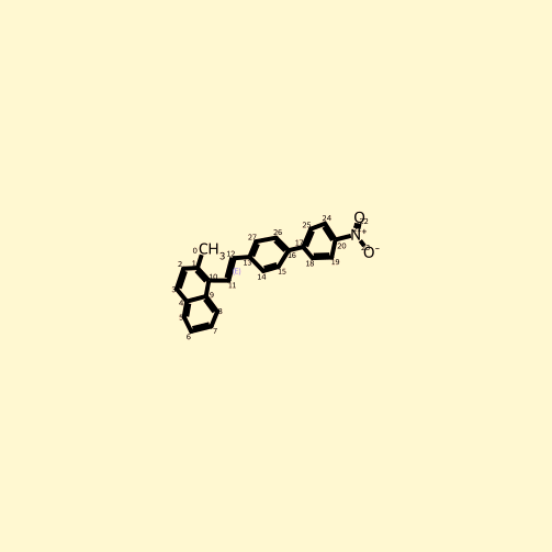 Cc1ccc2ccccc2c1/C=C/c1ccc(-c2ccc([N+](=O)[O-])cc2)cc1